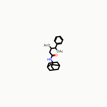 CC(=O)OC(CC(=O)NC12CC3CC(CC(C3)C1)C2)C(OC(C)=O)c1ccccc1